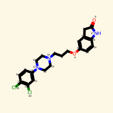 O=C1Cc2cc(OCCCN3CCN(c4ccc(Cl)c(Cl)c4)CC3)ccc2N1